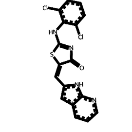 O=C1N=C(Nc2c(Cl)cccc2Cl)SC1=Cc1cc2cccnc2[nH]1